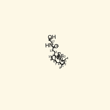 Cc1cc(C)n2c1C=C1C=CC(CCC(=O)NCCO)=[N+]1[B-]2(F)F